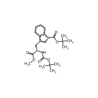 COC(=O)[C@@H](Cc1cn(C(=O)OC(C)(C)C)c2ccccc12)NC(=O)OC(C)(C)C